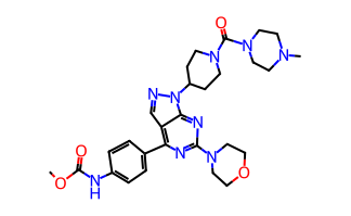 COC(=O)Nc1ccc(-c2nc(N3CCOCC3)nc3c2cnn3C2CCN(C(=O)N3CCN(C)CC3)CC2)cc1